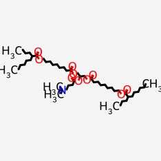 CCCCCCC(CCCC)C(=O)OCCCCCCCCC(=O)OCC(COC(=O)CCCCCCCCOC(=O)C(CCCC)CCCCCC)OC(=O)CCCN(C)C